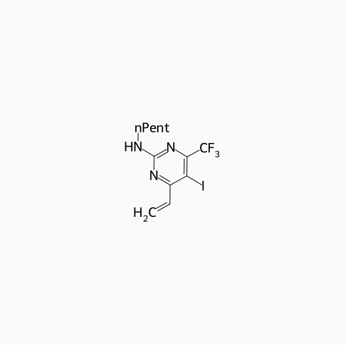 C=Cc1nc(NCCCCC)nc(C(F)(F)F)c1I